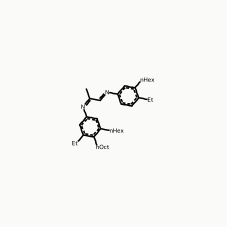 CCCCCCCCc1c(CC)cc(N=C(C)C=Nc2ccc(CC)c(CCCCCC)c2)cc1CCCCCC